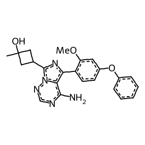 COc1cc(Oc2ccccc2)ccc1-c1nc(C2CC(C)(O)C2)n2ncnc(N)c12